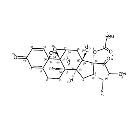 CCCCC(=O)O[C@]1(C(=O)CO)[C@H](CF)C[C@H]2[C@@H]3CCC4=CC(=O)C=C[C@]4(C)[C@@]34O[C@H]4C[C@@]21C